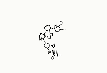 [CH2]c1ccc(-c2cccc(-c3ccnc(-c4ccc([C@H](C)N[S+]([O-])C(C)(C)C)c(OC)c4)c3Cl)c2Cl)nc1OC